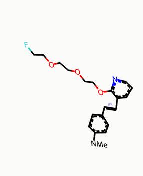 CNc1ccc(/C=C/c2cccnc2OCCOCCOCCF)cc1